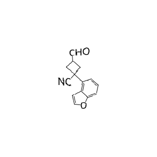 N#CC1(c2cccc3occc23)CC(C=O)C1